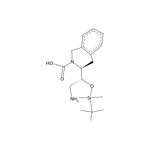 CC(C)(C)[Si](C)(C)O[C@H](CN)[C@@H]1Cc2ccccc2CN1C(=O)O